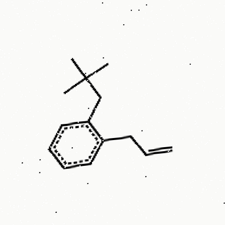 C=CCc1ccccc1CC(C)(C)C